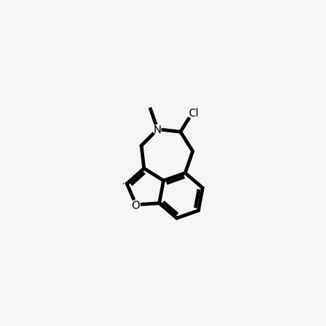 CN1Cc2[c]oc3cccc(c23)CC1Cl